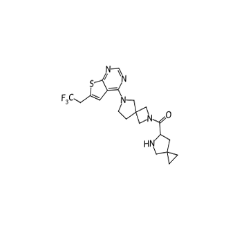 O=C(C1CC2(CC2)CN1)N1CC2(CCN(c3ncnc4sc(CC(F)(F)F)cc34)C2)C1